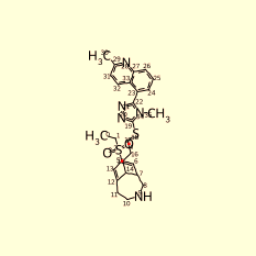 CCS(=O)(=O)C1=CC2CNCCC(=C1)C2CCCSc1nnc(-c2cccc3nc(C)ccc23)n1C